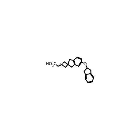 O=C(O)CN1CC2(Cc3ccc(OC4Cc5ccccc5C4)cc3C2)C1